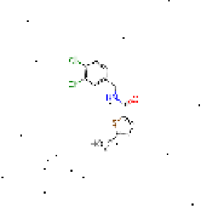 O=C(O)c1ccc(C(=O)NCc2ccc(Cl)c(Cl)c2)s1